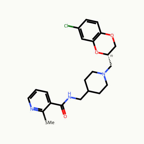 CSc1ncccc1C(=O)NCC1CCN(C[C@H]2COc3ccc(Cl)cc3O2)CC1